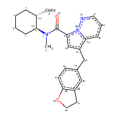 CO[C@H]1CCCC[C@@H]1N(C)C(=O)c1cc(Cc2ccc3c(c2)CCO3)c2cccnn12